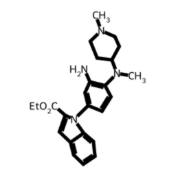 CCOC(=O)c1cc2ccccc2n1-c1ccc(N(C)C2CCN(C)CC2)c(N)c1